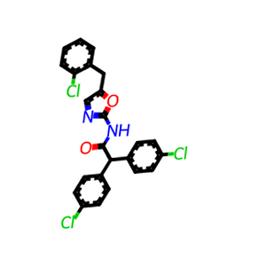 O=C(Nc1ncc(Cc2ccccc2Cl)o1)C(c1ccc(Cl)cc1)c1ccc(Cl)cc1